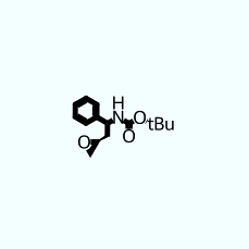 CC(C)(C)OC(=O)NC(C[C@H]1CO1)c1ccccc1